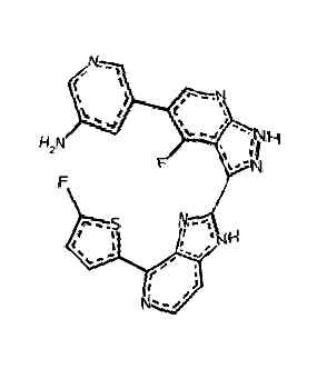 Nc1cncc(-c2cnc3[nH]nc(-c4nc5c(-c6ccc(F)s6)nccc5[nH]4)c3c2F)c1